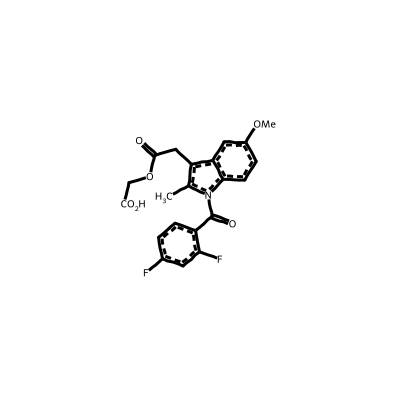 COc1ccc2c(c1)c(CC(=O)OCC(=O)O)c(C)n2C(=O)c1ccc(F)cc1F